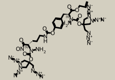 C=CCOC(=O)[C@H](Cc1ccc(OC(=O)NCCC[C@@H](C(=O)N=O)N(N)C(=O)OC(CN=[N+]=[N-])(CN=[N+]=[N-])CN=[N+]=[N-])cc1)N(N)C(=O)OC(CN=[N+]=[N-])(CN=[N+]=[N-])CN=[N+]=[N-]